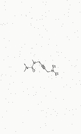 CCN(CC)CC#CCN(C)C(=O)N(C)C